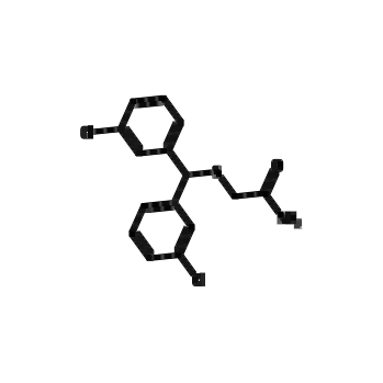 NC(=O)CSC(c1cccc(Cl)c1)c1cccc(Cl)c1